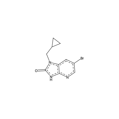 O=c1[nH]c2ncc(Br)cc2n1CC1CC1